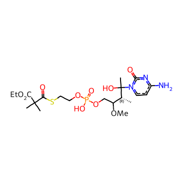 CCOC(=O)C(C)(C)C(=O)SCCOP(=O)(O)OCC(OC)[C@@H](C)C(C)(O)n1ccc(N)nc1=O